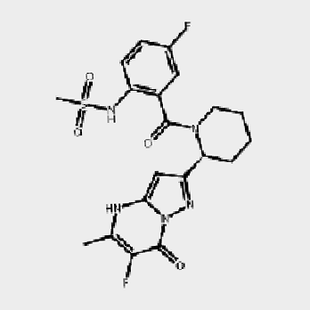 Cc1[nH]c2cc([C@@H]3CCCCN3C(=O)c3cc(F)ccc3NS(C)(=O)=O)nn2c(=O)c1F